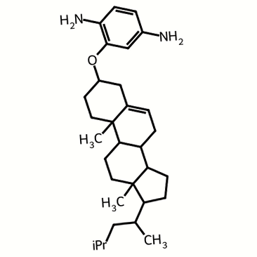 CC(C)CC(C)C1CCC2C3CC=C4CC(Oc5cc(N)ccc5N)CCC4(C)C3CCC12C